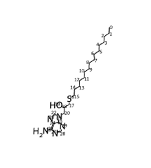 CCCCCCCCCCCCCCCCSCC(O)Cn1cnc2c(N)ncnc21